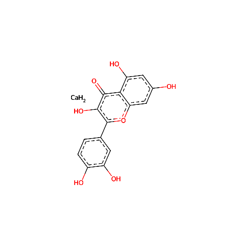 O=c1c(O)c(-c2ccc(O)c(O)c2)oc2cc(O)cc(O)c12.[CaH2]